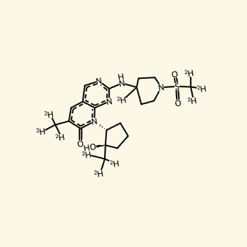 [2H]C1(Nc2ncc3cc(C([2H])([2H])[2H])c(=O)n([C@@H]4CCC[C@]4(O)C([2H])([2H])[2H])c3n2)CCN(S(=O)(=O)C([2H])([2H])[2H])CC1